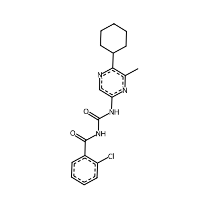 Cc1nc(NC(=O)NC(=O)c2ccccc2Cl)cnc1C1CCCCC1